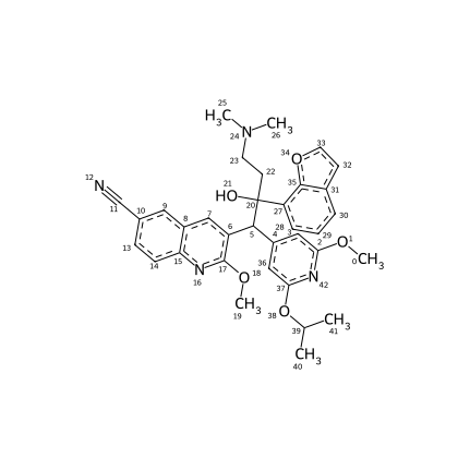 COc1cc(C(c2cc3cc(C#N)ccc3nc2OC)C(O)(CCN(C)C)c2cccc3ccoc23)cc(OC(C)C)n1